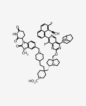 C#Cc1c(F)ccc2cccc(-c3ncc4c(N5CC6CCC(C5)N6)nc(OC[C@@]56CCCN5[C@H](CC5(CCC7CCN(Cc8ccc9c(c8)n(C)c(=O)n9C8CCC(=O)NC8=O)CC7)CCN(C(=O)O)CC5)CC6)nc4c3F)c12